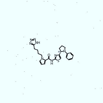 O=C(Nc1nc([C@H]2CCCN2c2ccccc2)cs1)c1cccn1CCCCc1nnn[nH]1